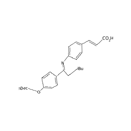 CCCCCCCCCCOc1ccc(C(CC(C)CC)=Nc2ccc(C=CC(=O)O)cc2)cc1